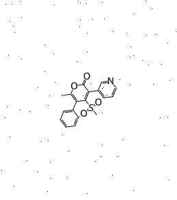 Cc1oc(=O)c(-c2cccnc2)c(S(C)(=O)=O)c1-c1ccccc1